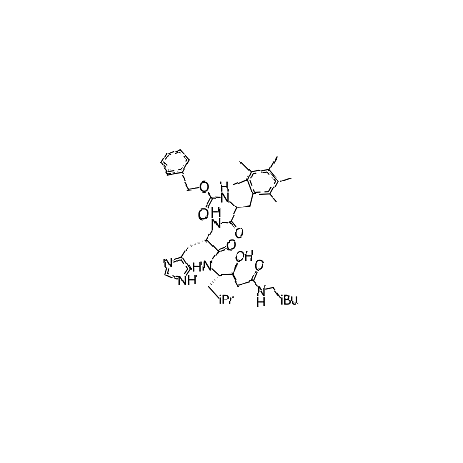 CCC(C)CNC(=O)C[C@H](O)[C@H](CC(C)C)NC(=O)[C@H](Cc1c[nH]cn1)NC(=O)[C@H](Cc1c(C)c(C)c(C)c(C)c1C)NC(=O)OCc1ccccc1